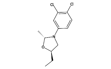 CC[C@@H]1CN(c2ccc(Cl)c(Cl)c2)[C@@H](C)O1